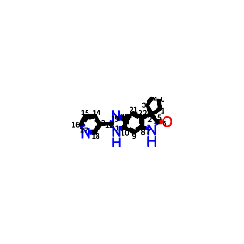 CCC1(CC)C(=O)Nc2cc3[nH]c(-c4cccnc4)nc3cc21